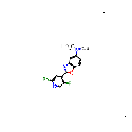 CC(C)(C)N(C(=O)O)c1ccc2oc(-c3cc(Br)ncc3F)nc2c1